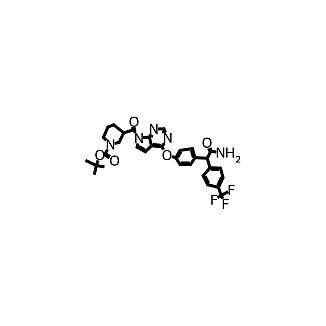 CC(C)(C)OC(=O)N1CCCC(C(=O)n2ccc3c(Oc4ccc(C(C(N)=O)c5ccc(C(F)(F)F)cc5)cc4)ncnc32)C1